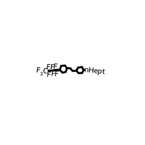 CCCCCCCC1CCC(CCC2CCC(C(F)(F)C(F)(F)C(F)(F)C(F)(F)F)CC2)CC1